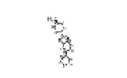 CN1CCC(c2nc3cc(C4=NCCCC4)ccc3s2)CC1